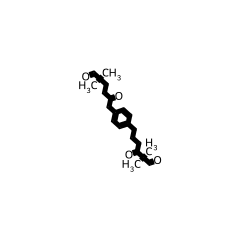 CC(C)(C=O)CCC(=O)Cc1ccc(CCCC(=O)C(C)(C)C=O)cc1